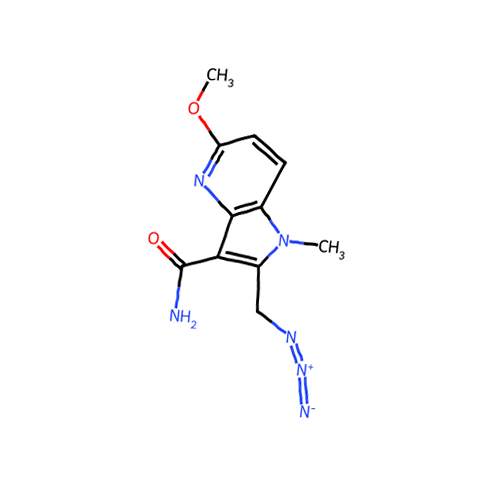 COc1ccc2c(n1)c(C(N)=O)c(CN=[N+]=[N-])n2C